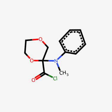 CN(c1ccccc1)C1(C(=O)Cl)COCCO1